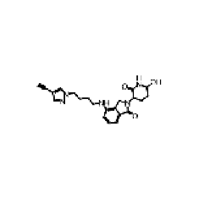 C#Cc1cnn(CCCCNc2cccc3c2CN(C2CCC(O)NC2=O)C3=O)c1